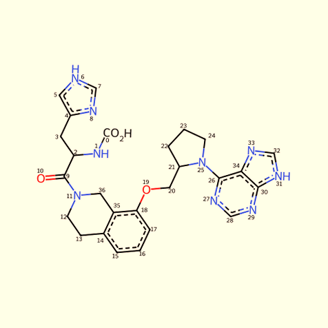 O=C(O)NC(Cc1c[nH]cn1)C(=O)N1CCc2cccc(OCC3CCCN3c3ncnc4[nH]cnc34)c2C1